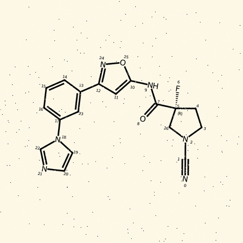 N#CN1CC[C@](F)(C(=O)Nc2cc(-c3cccc(-n4ccnc4)c3)no2)C1